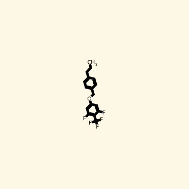 CCCc1ccc(COc2cc(F)c(C(F)(F)F)c(F)c2)cc1